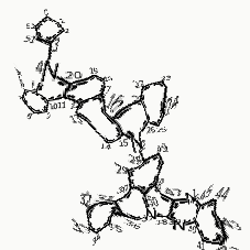 c1ccc(-n2c3ccccc3c3c4ccc5c(c4ccc32)c2ccccc2n5-c2cc3c4ccccc4n4c5nc6ccccc6nc5c(c2)c34)cc1